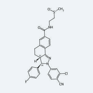 C[S+]([O-])CCNC(=O)c1ccc2c(c1)CC[C@@H]1C2=NN(c2ccc(C#N)c(Cl)c2)[C@H]1c1ccc(F)cc1